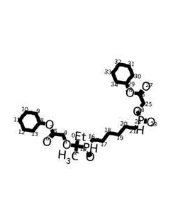 CCC(C)(OCC(=O)OC1CCCCC1)[PH](=O)CCCCCC[PH](=O)OCC(=O)OC1CCCCC1